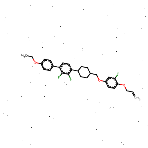 C=CCOc1ccc(OCC2CCC(c3ccc(-c4ccc(OCC)cc4)c(F)c3F)CC2)cc1F